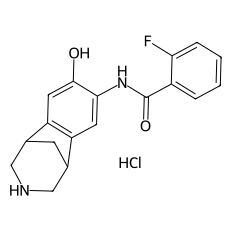 Cl.O=C(Nc1cc2c(cc1O)C1CNCC2C1)c1ccccc1F